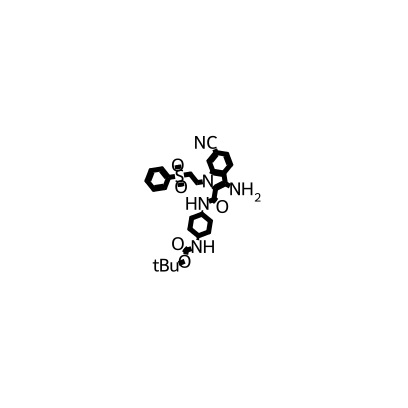 CC(C)(C)OC(=O)N[C@H]1CC[C@H](NC(=O)c2c(N)c3ccc(C#N)cc3n2CCS(=O)(=O)c2ccccc2)CC1